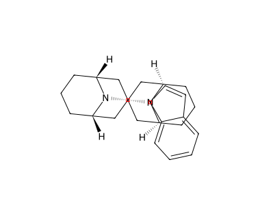 c1ccc2c(c1)ccn2[C@H]1C[C@H]2CCC[C@@H](C1)N2[C@H]1C[C@@H]2CCC[C@@H](C2)C1